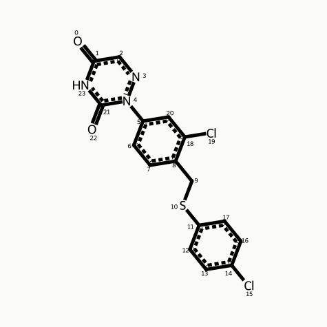 O=c1cnn(-c2ccc(CSc3ccc(Cl)cc3)c(Cl)c2)c(=O)[nH]1